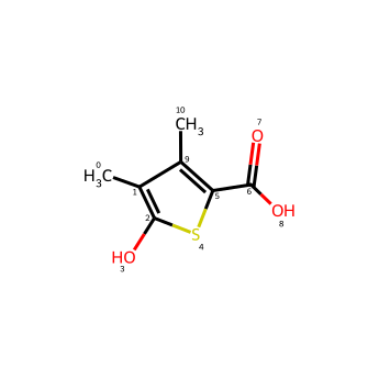 Cc1c(O)sc(C(=O)O)c1C